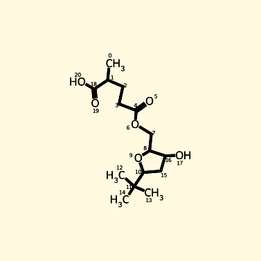 CC(CCC(=O)OCC1OC(C(C)(C)C)CC1O)C(=O)O